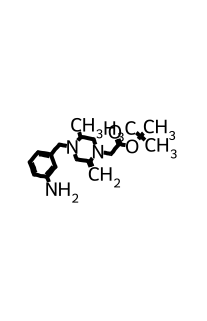 C=C1CN(Cc2cccc(N)c2)C(C)CN1CC(=O)OC(C)(C)C